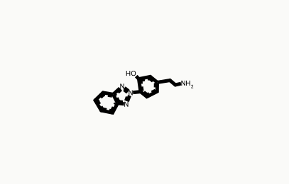 NCCc1ccc(-n2nc3ccccc3n2)c(O)c1